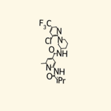 Cc1cc(C(=O)NC2CCCN(c3ncc(C(F)(F)F)cc3Cl)C2)cc(NC(=O)C(C)C)n1